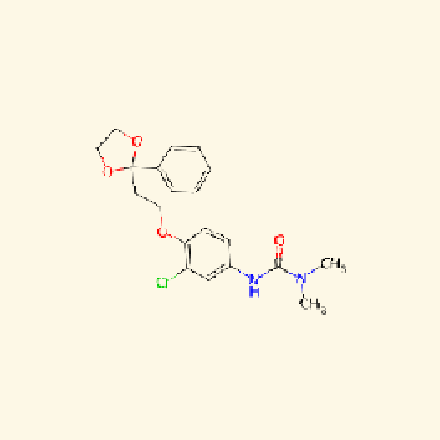 CN(C)C(=O)Nc1ccc(OCCC2(c3ccccc3)OCCO2)c(Cl)c1